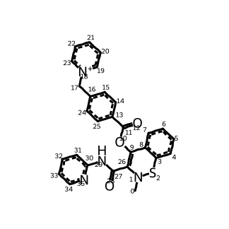 CN1Sc2ccccc2C(OC(=O)c2ccc(C[n+]3ccccc3)cc2)=C1C(=O)Nc1ccccn1